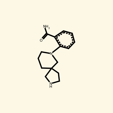 NC(=O)c1ccccc1N1CCCC2(CCNC2)C1